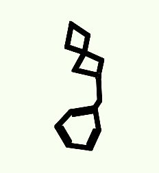 c1ccc(CN2CC3(CCC3)C2)cc1